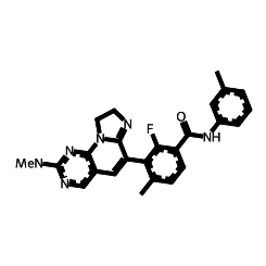 CNc1ncc2c(n1)N1CCN=C1C(c1c(C)ccc(C(=O)Nc3cccc(C)c3)c1F)=C2